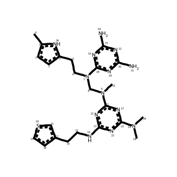 Cc1ccc(CCN(CN(C)c2nc(NCCc3ccsc3)nc(N(C)C)n2)c2nc(N)nc(N)n2)[nH]1